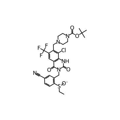 CC[S+]([O-])c1ccc(C#N)cc1Cn1c(=O)[nH]c2c(Cl)c(CN3CCN(C(=O)OC(C)(C)C)CC3)c(C(F)(F)F)cc2c1=O